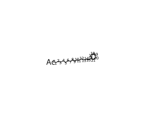 CC(=O)CCCCCCCCCCCCCC=Cc1ccccc1